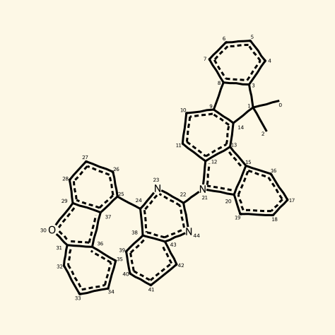 CC1(C)c2ccccc2-c2ccc3c(c21)c1ccccc1n3-c1nc(-c2cccc3oc4ccccc4c23)c2ccccc2n1